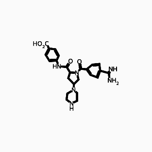 N=C(N)c1ccc(C(=O)N2CC(N3CCNCC3)CC2C(=O)Nc2ccc(C(=O)O)cc2)cc1